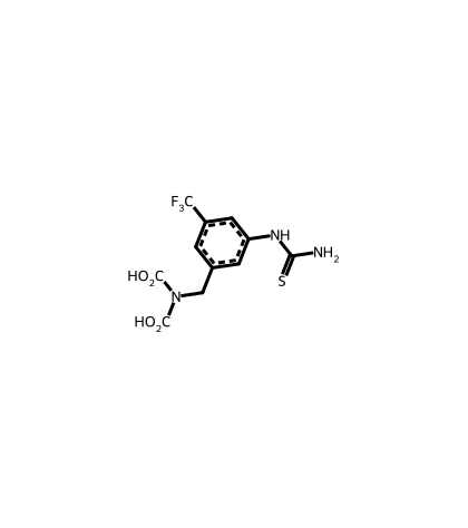 NC(=S)Nc1cc(CN(C(=O)O)C(=O)O)cc(C(F)(F)F)c1